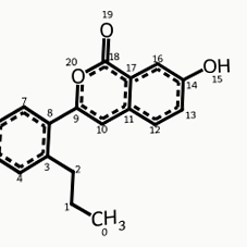 CCCc1ccccc1-c1cc2ccc(O)cc2c(=O)o1